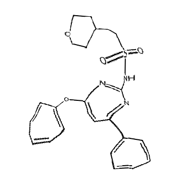 O=S(=O)(CC1CCOCC1)Nc1nc(Oc2ccccc2)cc(-c2ccccc2)n1